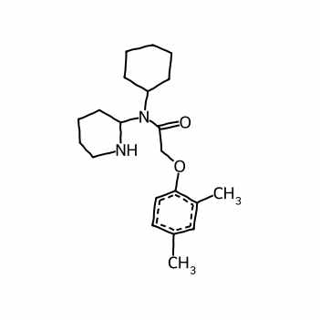 Cc1ccc(OCC(=O)N(C2CCCCC2)C2CCCCN2)c(C)c1